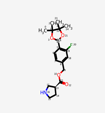 CC1(C)OB(c2ccc(COC(=O)[C@H]3CCNC3)cc2F)OC1(C)C